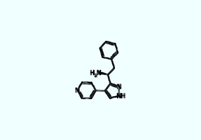 N[C@@H](Cc1ccccc1)c1n[nH]cc1-c1ccncc1